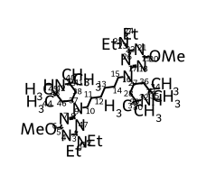 CCN(CC)c1nc(OC)nc(N(CCCCCCN(c2nc(OC)nc(N(CC)CC)n2)C2CC(C)(C)NC(C)(C)C2)C2CC(C)(C)NC(C)(C)C2)n1